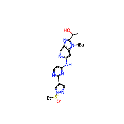 CCC(C)n1c(C(C)O)nc2cnc(Nc3ccnc(-c4cnn([S+]([O-])CC)c4)n3)cc21